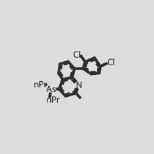 CCC[As](CCC)c1cc(C)nc2c(-c3ccc(Cl)cc3Cl)cccc12